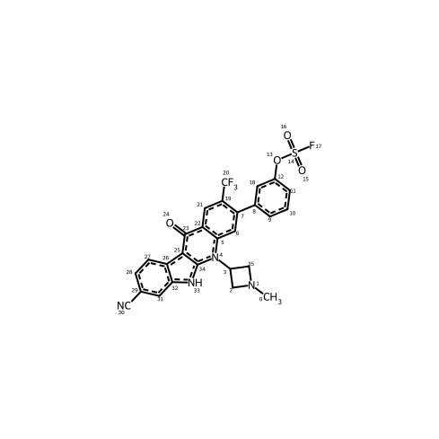 CN1CC(n2c3cc(-c4cccc(OS(=O)(=O)F)c4)c(C(F)(F)F)cc3c(=O)c3c4ccc(C#N)cc4[nH]c32)C1